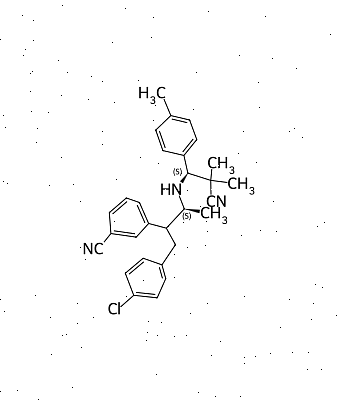 Cc1ccc([C@H](N[C@@H](C)C(Cc2ccc(Cl)cc2)c2cccc(C#N)c2)C(C)(C)C#N)cc1